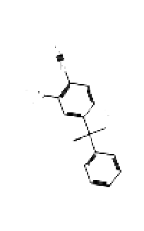 CC(C)(c1ccccc1)c1ccc([N+]#N)c([N+](=O)[O-])c1.[Cl-]